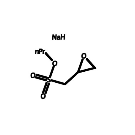 CCCOS(=O)(=O)CC1CO1.[NaH]